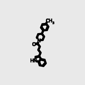 Cc1ccc(C2CCN(C(=O)CCCc3c[nH]c4ccccc34)CC2)cc1